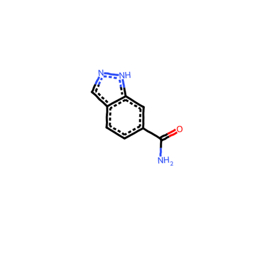 NC(=O)c1ccc2cn[nH]c2c1